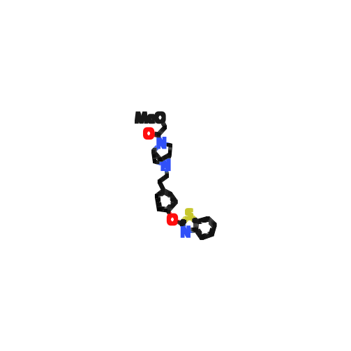 COCC(=O)N1CC2CC1CN2CCc1ccc(Oc2nc3ccccc3s2)cc1